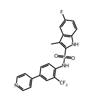 Cc1c(S(=O)(=O)Nc2ccc(-c3ccncc3)cc2C(F)(F)F)[nH]c2ccc(F)cc12